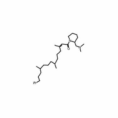 CC(=CC(=O)N1CCCCC1CN(C)C)CCCC(C)CCCC(C)CCCC(C)C